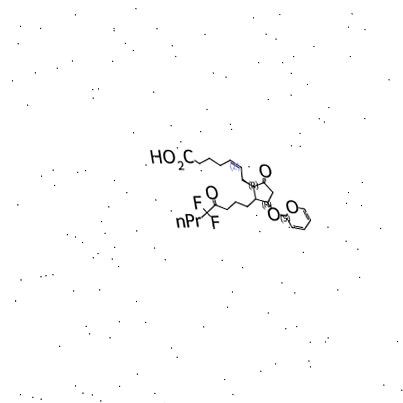 CCCC(F)(F)C(=O)CCCC1[C@H](O[C@@H]2C=CC=CO2)CC(=O)[C@@H]1C/C=C\CCCC(=O)O